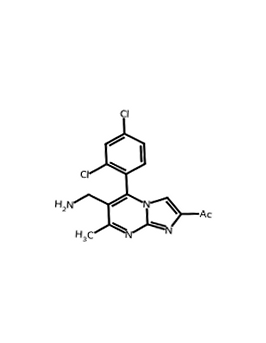 CC(=O)c1cn2c(-c3ccc(Cl)cc3Cl)c(CN)c(C)nc2n1